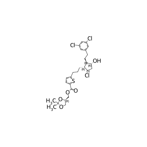 CC1(C)OC[C@H](COC(=O)c2ccc(CCC[C@@H]3[C@@H](CCc4cc(Cl)cc(Cl)c4)[C@H](O)C[C@@H]3Cl)s2)O1